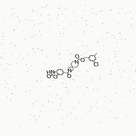 Cc1cc(Cl)cc(COC(=O)N2CCC3(CC2)CN(C(=O)c2ccc4[nH]c(=O)oc4c2)C3)c1